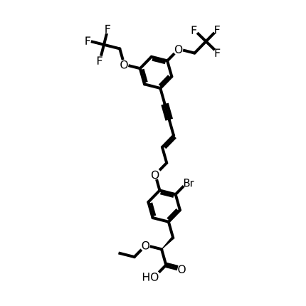 CCO[C@@H](Cc1ccc(OC/C=C/C#Cc2cc(OCC(F)(F)F)cc(OCC(F)(F)F)c2)c(Br)c1)C(=O)O